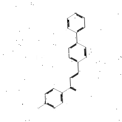 Cl.O=C(C=Cc1ccc(-c2ccccc2)cc1)c1ccc(Cl)cc1